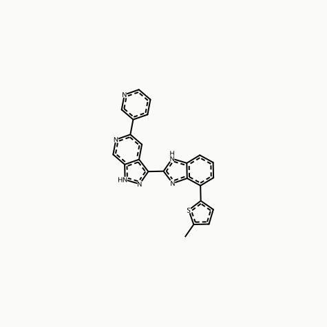 Cc1ccc(-c2cccc3[nH]c(-c4n[nH]c5cnc(-c6cccnc6)cc45)nc23)s1